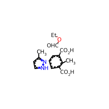 CCOC=O.Cc1c(C(=O)O)cccc1C(=O)O.Cc1cc[nH]n1